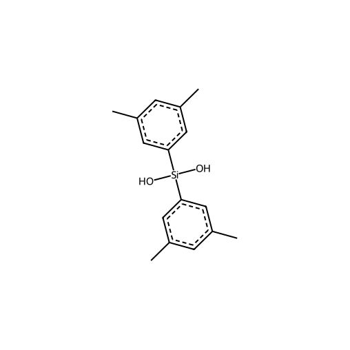 Cc1cc(C)cc([Si](O)(O)c2cc(C)cc(C)c2)c1